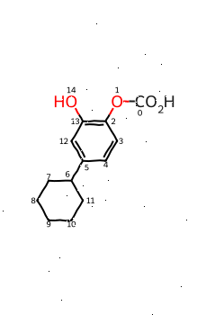 O=C(O)Oc1ccc(C2CCCCC2)cc1O